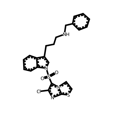 O=S(=O)(c1c(Cl)nc2sccn12)n1cc(CCCNCc2ccccc2)c2ccccc21